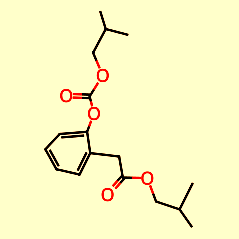 CC(C)COC(=O)Cc1ccccc1OC(=O)OCC(C)C